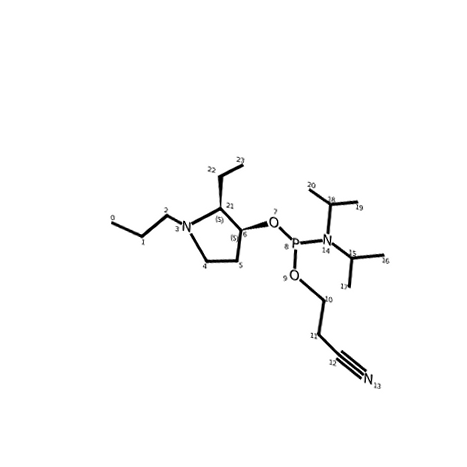 CCCN1CC[C@H](OP(OCCC#N)N(C(C)C)C(C)C)[C@@H]1CC